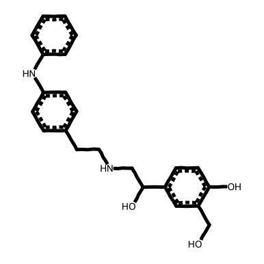 OCc1cc(C(O)CNCCc2ccc(Nc3ccccc3)cc2)ccc1O